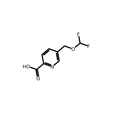 O=C(O)c1ccc(COC(F)F)cn1